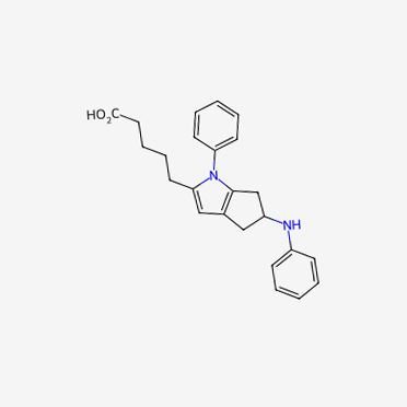 O=C(O)CCCCc1cc2c(n1-c1ccccc1)CC(Nc1ccccc1)C2